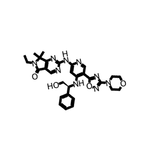 CCN1C(=O)c2cnc(Nc3cc(N[C@H](CO)c4ccccc4)c(-c4nc(N5CCOCC5)no4)cn3)nc2C1(C)C